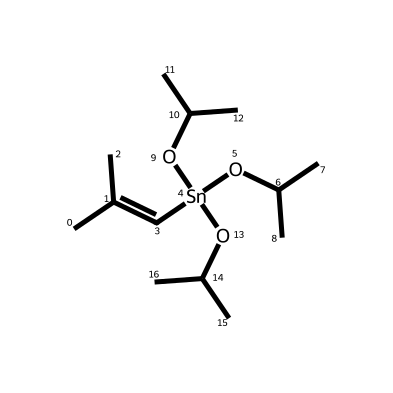 CC(C)=[CH][Sn]([O]C(C)C)([O]C(C)C)[O]C(C)C